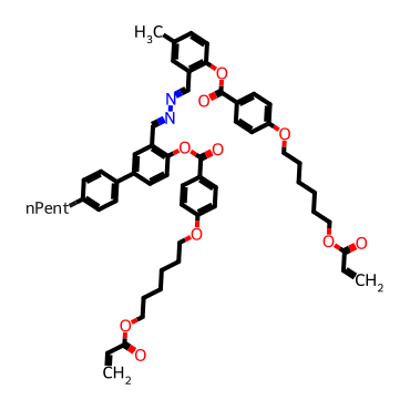 C=CC(=O)OCCCCCCOc1ccc(C(=O)Oc2ccc(C)cc2/C=N/N=C/c2cc(-c3ccc(CCCCC)cc3)ccc2OC(=O)c2ccc(OCCCCCCOC(=O)C=C)cc2)cc1